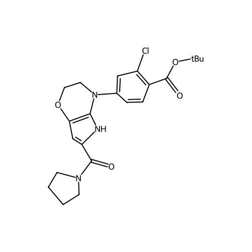 CC(C)(C)OC(=O)c1ccc(N2CCOc3cc(C(=O)N4CCCC4)[nH]c32)cc1Cl